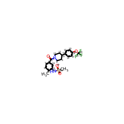 Cc1ccc(C(=O)N2CCC(c3ccc(OC(F)(F)F)cc3)CC2)cc1NS(C)(=O)=O